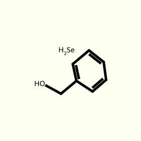 OCc1ccccc1.[SeH2]